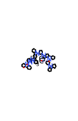 C/C=C\c1c(C)n(-c2cccc(-n3c4ccccc4c4cc5c(cc43)c3ccccc3n5-c3cccc(-n4c5ccccc5c5ccccc54)n3)c2)c2ccc3c4ccccc4n(-c4cccc(-n5c6ccccc6c6ccccc65)c4)c3c12